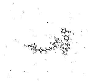 Cc1ncsc1-c1ccc(CNC(=O)[C@@H]2C[C@@H](O)CN2C(=O)C(NC(=O)COCCCC2CN(C(=O)OC(C)(C)C)C2)C(C)(C)C)cc1